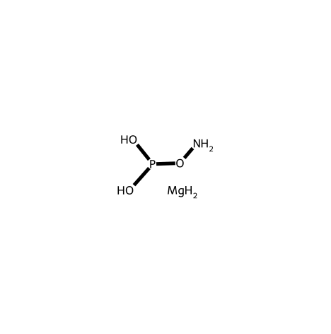 NOP(O)O.[MgH2]